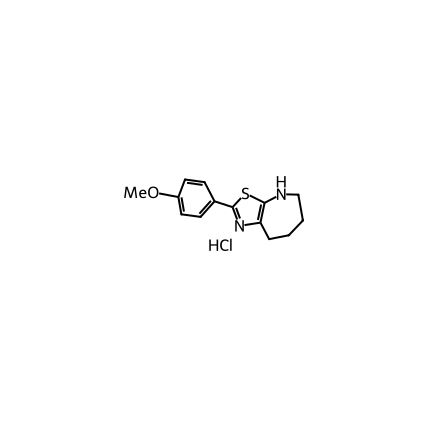 COc1ccc(-c2nc3c(s2)NCCCC3)cc1.Cl